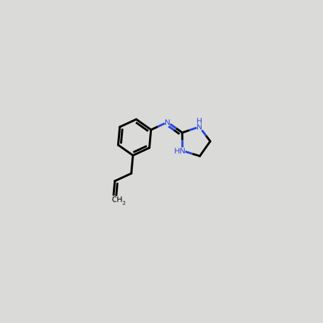 C=CCc1cccc(N=C2NCCN2)c1